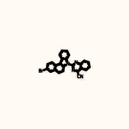 N#Cc1nc(-n2c3ccccc3c3c4ccc(Br)cc4ccc32)nc2ccccc12